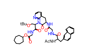 CC(=O)NC(Cc1ccc2ccccc2c1)C(=O)NCC(=O)NC(Cc1cccnc1)C(=O)NC(COC(C)(C)C)C(=O)NCC(=O)OC1CCCCCC1